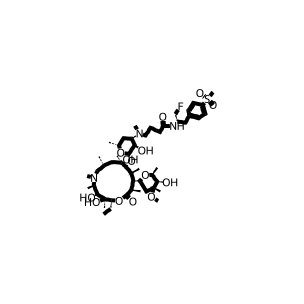 CC[C@H]1OC(=O)[C@H](C)[C@@H](C2C[C@@](C)(OC)[C@@H](O)[C@H](C)O2)[C@H](C)[C@@H](O[C@@H]2O[C@H](C)C[C@H](N(C)CCCC(=O)N[C@H](CF)Cc3ccc(S(C)(=O)=O)cc3)[C@H]2O)[C@](C)(O)C[C@@H](C)CN(C)[C@H](C)[C@@H](O)[C@]1(C)O